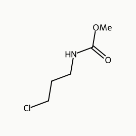 COC(=O)NCCCCl